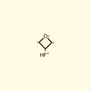 C1COC1.F